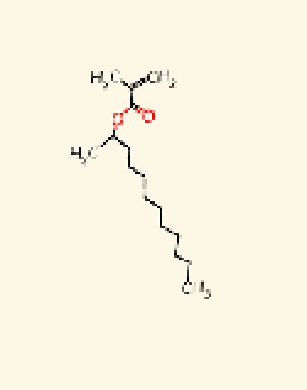 C=C(C)C(=O)OC(C)CCCCCCCCCC